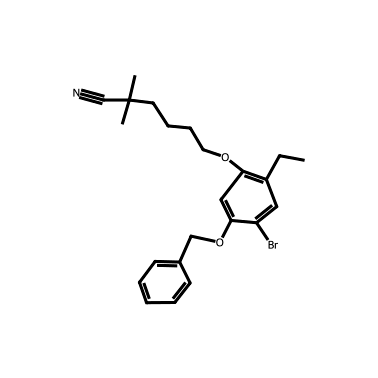 CCc1cc(Br)c(OCc2ccccc2)cc1OCCCCC(C)(C)C#N